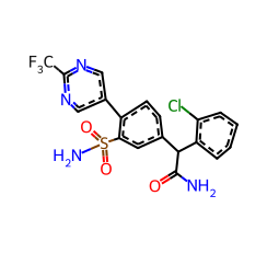 NC(=O)C(c1ccc(-c2cnc(C(F)(F)F)nc2)c(S(N)(=O)=O)c1)c1ccccc1Cl